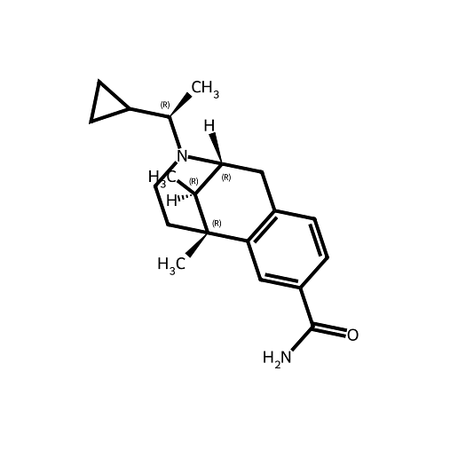 C[C@H](C1CC1)N1CC[C@@]2(C)c3cc(C(N)=O)ccc3C[C@@H]1[C@@H]2C